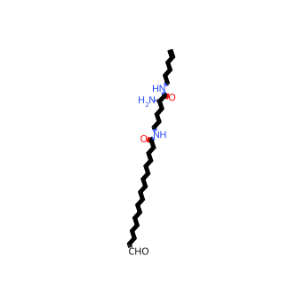 C=CCCCCNC(=O)[C@@H](N)CCCCNC(=O)CCCCCCCCCCCCCCCCC=O